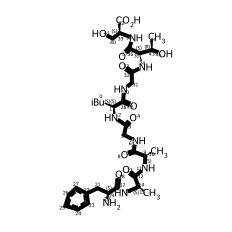 CC[C@H](C)[C@H](NC(=O)CNC(=O)[C@H](C)NC(=O)[C@H](C)NC(=O)[C@@H](N)Cc1ccccc1)C(=O)NCC(=O)N[C@H](C(=O)N[C@@H](CO)C(=O)O)[C@@H](C)O